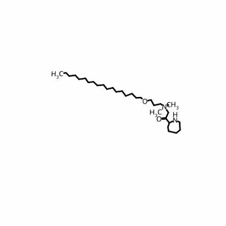 CCCCCCCCCCCCCCCCCCOCCC[N+](C)(C)CC(=O)C1CCCCCN1